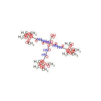 CC(=O)OC[C@H]1O[C@@H](OCCCCC(=O)NCCCNC(=O)CCOCC(COCCC(=O)NCCCNC(=O)CCCCO[C@@H]2O[C@H](COC(C)=O)[C@@H](OC(C)=O)[C@H](OC(C)=O)[C@H]2OC(C)=O)(COCCC(=O)NCCCNC(=O)CCCCO[C@@H]2O[C@H](COC(C)=O)[C@@H](OC(C)=O)[C@H](OC(C)=O)[C@H]2OC(C)=O)NC(=O)CCCC(=O)O)[C@H](OC(C)=O)[C@@H](OC(C)=O)[C@@H]1OC(C)=O